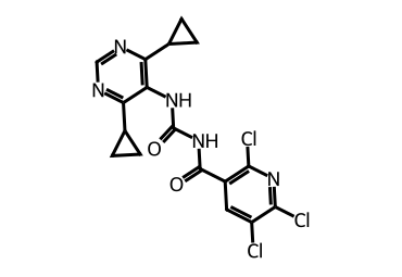 O=C(NC(=O)c1cc(Cl)c(Cl)nc1Cl)Nc1c(C2CC2)ncnc1C1CC1